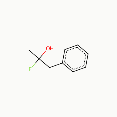 CC(O)(F)Cc1ccccc1